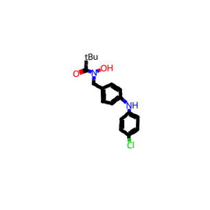 CC(C)(C)C(=O)N(O)Cc1ccc(Nc2ccc(Cl)cc2)cc1